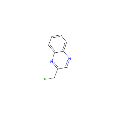 FCc1[c]nc2ccccc2n1